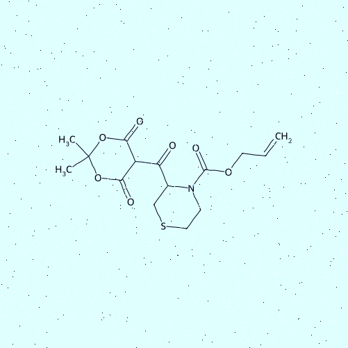 C=CCOC(=O)N1CCSCC1C(=O)C1C(=O)OC(C)(C)OC1=O